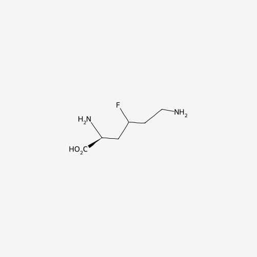 NCCC(F)C[C@H](N)C(=O)O